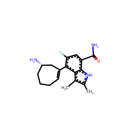 Cc1[nH]c2c(C(N)=O)cc(F)c(C3=CCCC[C@H](N)C3)c2c1C